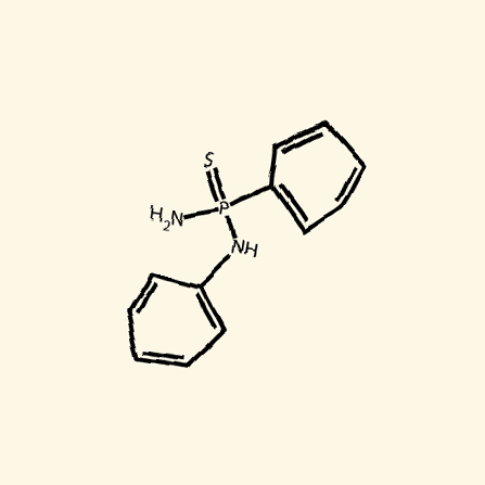 NP(=S)(Nc1ccccc1)c1ccccc1